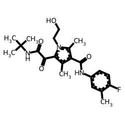 Cc1cc(NC(=O)c2c(C)c(C(=O)C(=O)NC(C)(C)C)n(CCO)c2C)ccc1F